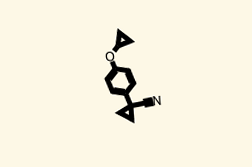 N#CC1(c2ccc(OC3CC3)cc2)CC1